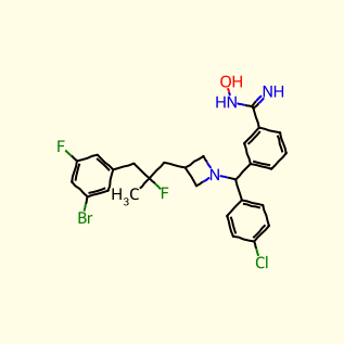 CC(F)(Cc1cc(F)cc(Br)c1)CC1CN(C(c2ccc(Cl)cc2)c2cccc(C(=N)NO)c2)C1